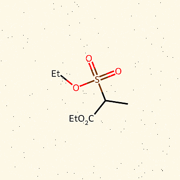 CCOC(=O)C(C)S(=O)(=O)OCC